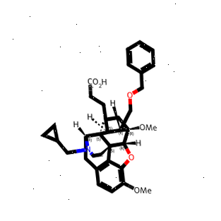 COc1ccc2c3c1O[C@H]1[C@@]4(OC)CC[C@@]5([C@@H](CCC(=O)O)[C@@H]4COCc4ccccc4)[C@@H](C2)N(CC2CC2)CC[C@]315